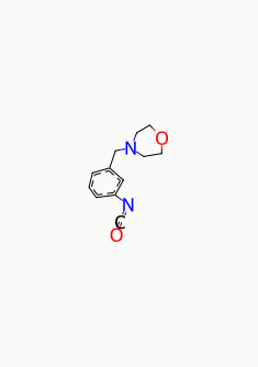 O=C=Nc1cccc(CN2CCOCC2)c1